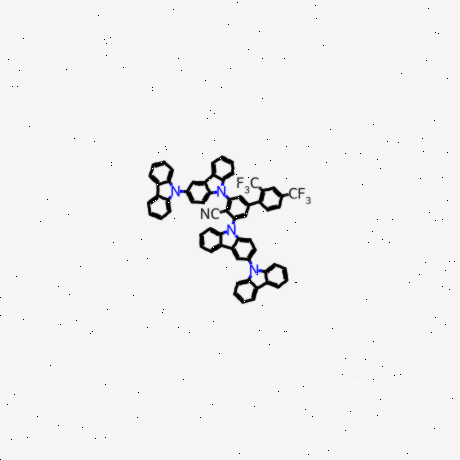 N#Cc1c(-n2c3ccccc3c3cc(-n4c5ccccc5c5ccccc54)ccc32)cc(-c2ccc(C(F)(F)F)cc2C(F)(F)F)cc1-n1c2ccccc2c2cc(-n3c4ccccc4c4ccccc43)ccc21